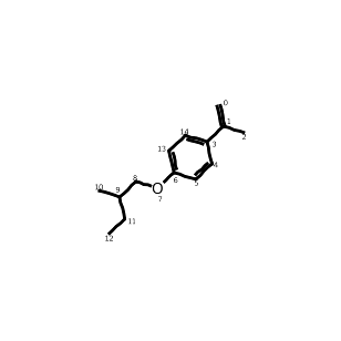 C=C(C)c1ccc(OCC(C)CC)cc1